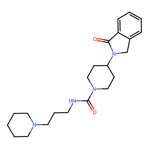 O=C(NCCCN1CCCCC1)N1CCC(N2Cc3ccccc3C2=O)CC1